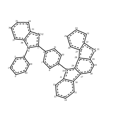 c1ccc(-n2c(-c3ccc(-n4c5ccccc5c5ccc6sc7ccccc7c6c54)cc3)nc3ccccc32)cc1